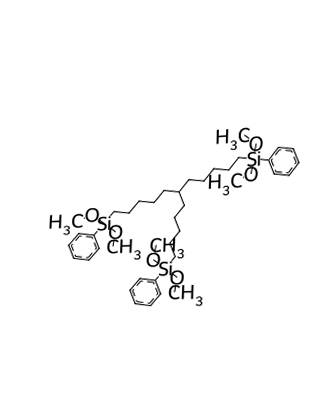 CO[Si](CCCCCC(CCCCC[Si](OC)(OC)c1ccccc1)CCCCC[Si](OC)(OC)c1ccccc1)(OC)c1ccccc1